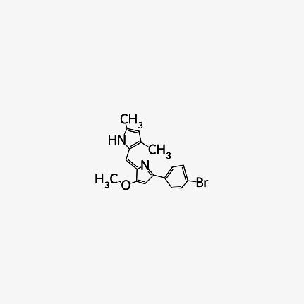 COC1=CC(c2ccc(Br)cc2)=NC1=Cc1[nH]c(C)cc1C